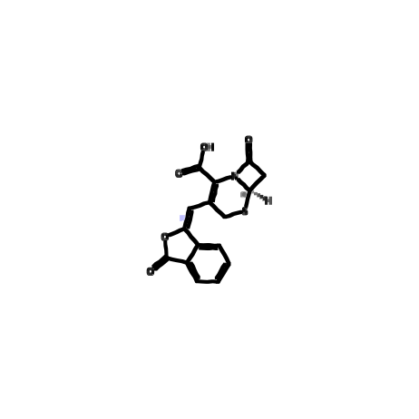 O=C(O)C1=C(/C=C2/OC(=O)c3ccccc32)CS[C@@H]2CC(=O)N12